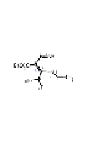 CCOC(=O)/C(C=N)=C(/NCC(F)(F)F)C(F)F